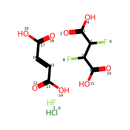 Cl.F.O=C(O)C(F)C(F)C(=O)O.O=C(O)C=CC(=O)O